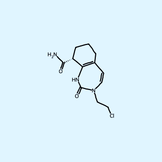 NC(=O)[C@@H]1CCCC2=C1NC(=O)N(CCCl)C=C2